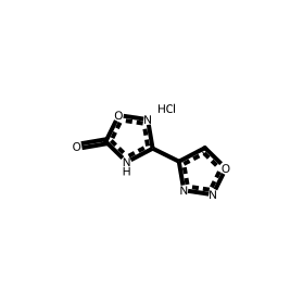 Cl.O=c1[nH]c(-c2conn2)no1